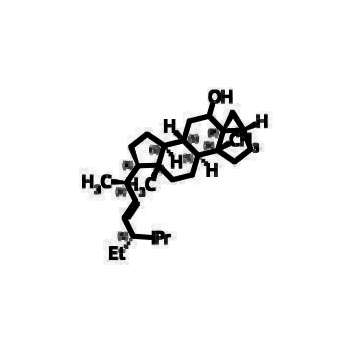 CC[C@H](C=C[C@@H](C)[C@H]1CC[C@H]2[C@@H]3CC(O)[C@]45C[C@@H]4CC[C@]5(C)[C@H]3CC[C@]12C)C(C)C